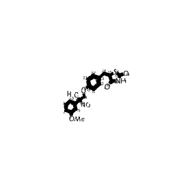 COc1cccc(C(C)(COc2ccc(CC3SC(=O)NC3=O)cc2)N=O)c1